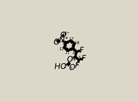 O=C(O)OC(C(F)F)C(F)c1ccc([N+](=O)[O-])cc1